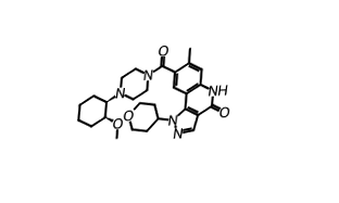 CO[C@H]1CCCC[C@H]1N1CCN(C(=O)c2cc3c(cc2C)[nH]c(=O)c2cnn(C4CCOCC4)c23)CC1